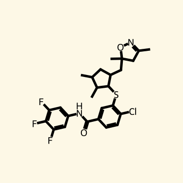 CC1=NOC(C)(CC2CC(C)C(C)C2Sc2cc(C(=O)Nc3cc(F)c(F)c(F)c3)ccc2Cl)C1